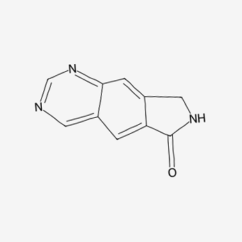 O=C1NCc2cc3ncncc3cc21